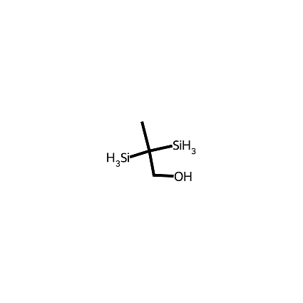 CC([SiH3])([SiH3])CO